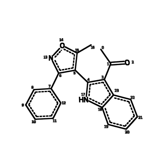 CC(=O)c1c(-c2c(-c3ccccc3)noc2C)[nH]c2ccccc12